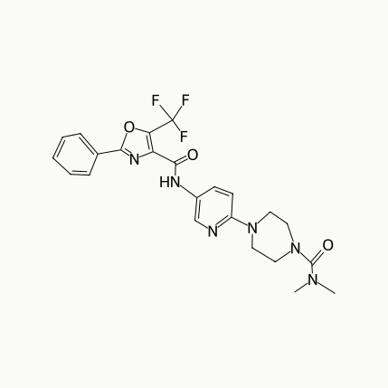 CN(C)C(=O)N1CCN(c2ccc(NC(=O)c3nc(-c4ccccc4)oc3C(F)(F)F)cn2)CC1